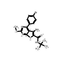 CSc1nc(-c2ccc(Br)cc2)c2c(N)c(C(=O)NC(C)(C)C)sc2n1